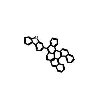 c1ccc2c(-c3ccc4c(c3)oc3ccccc34)c3ccccc3c(-c3ccc4ccccc4c3C3=c4ccccc4=CCC3)c2c#1